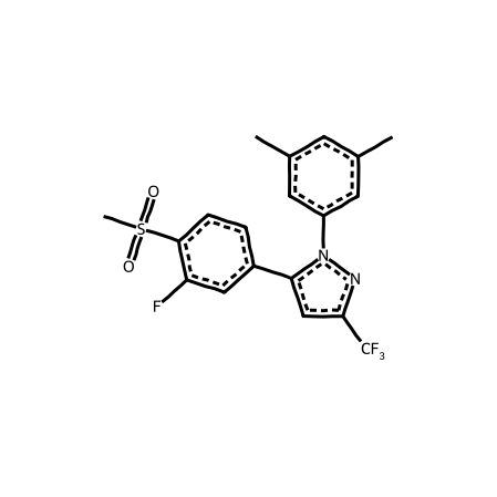 Cc1cc(C)cc(-n2nc(C(F)(F)F)cc2-c2ccc(S(C)(=O)=O)c(F)c2)c1